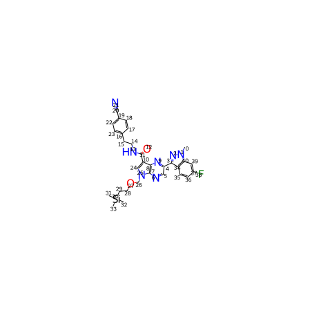 Cn1nc(-c2cnc3c(n2)c(C(=O)NCCc2ccc(C#N)cc2)cn3COCC[Si](C)(C)C)c2ccc(F)cc21